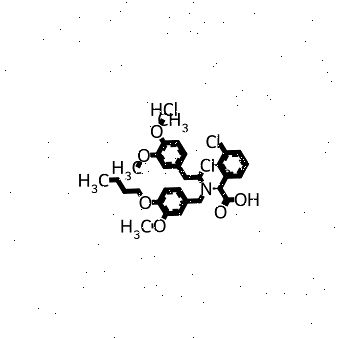 CCCCOc1ccc(CN(C(C)Cc2ccc(OC)c(OC)c2)[C@@H](C(=O)O)c2cccc(Cl)c2)cc1OC.Cl